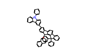 c1ccc(-n2c3ccccc3c3cc(-c4ccc5c(c4)-c4ccc6c(c4C5c4ccc5ccccc5c4)C(c4ccccc4)(c4ccccc4)c4ccccc4-6)ccc32)cc1